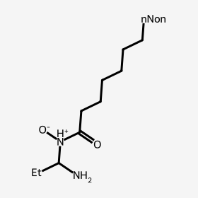 CCCCCCCCCCCCCCCC(=O)[NH+]([O-])C(N)CC